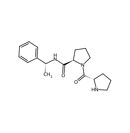 C[C@@H](NC(=O)[C@H]1CCCN1C(=O)[C@@H]1CCCN1)c1ccccc1